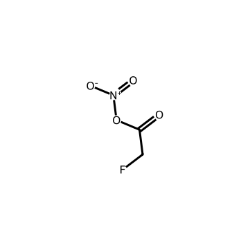 O=C(CF)O[N+](=O)[O-]